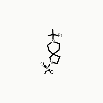 CCC(C)(C)N1CCC2(CC1)CCN(S(C)(=O)=O)C2